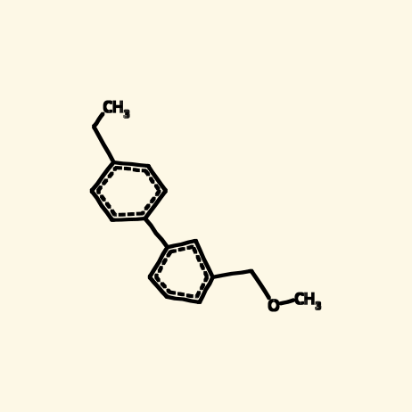 CCc1ccc(-c2cccc(COC)c2)cc1